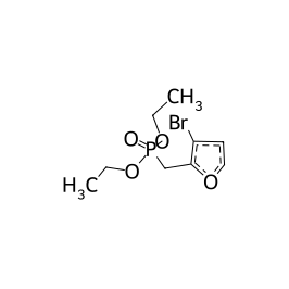 CCOP(=O)(Cc1occc1Br)OCC